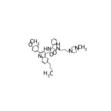 CCCCc1ccc2nc(-c3ccc(OC)cc3)cc(C(=O)NC(C(=O)NCCCN3CCN(C)CC3)c3ccccc3)c2c1